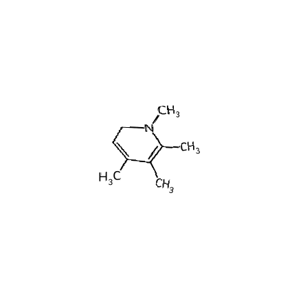 CC1=CCN(C)C(C)=C1C